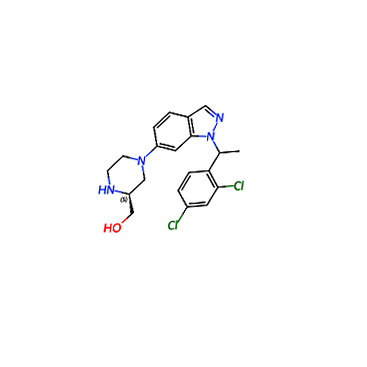 CC(c1ccc(Cl)cc1Cl)n1ncc2ccc(N3CCN[C@H](CO)C3)cc21